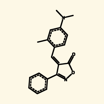 Cc1cc(N(C)C)ccc1C=C1C(=O)ON=C1c1ccccc1